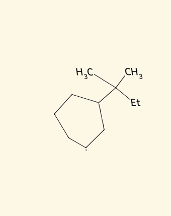 CCC(C)(C)C1C[CH]CCC1